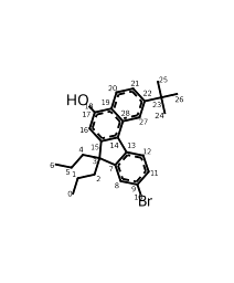 CCCC1(CCC)c2cc(Br)ccc2-c2c1cc(O)c1ccc(C(C)(C)C)cc21